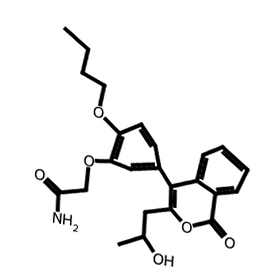 CCCCOc1ccc(-c2c(CC(C)O)oc(=O)c3ccccc23)cc1OCC(N)=O